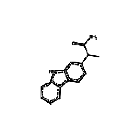 CC(C(N)=O)c1ccc2c(c1)[nH]c1ccncc12